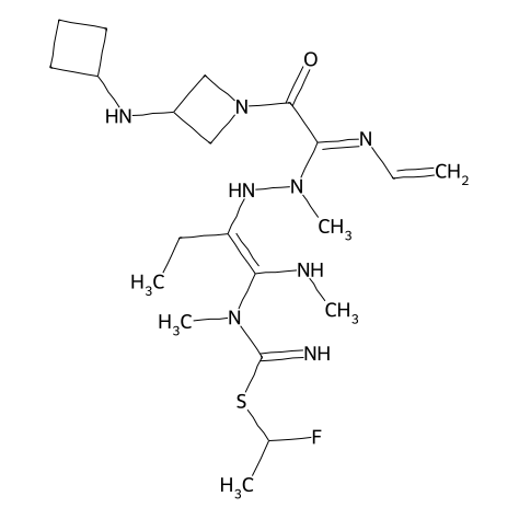 C=C/N=C(/C(=O)N1CC(NC2CCC2)C1)N(C)N/C(CC)=C(\NC)N(C)C(=N)SC(C)F